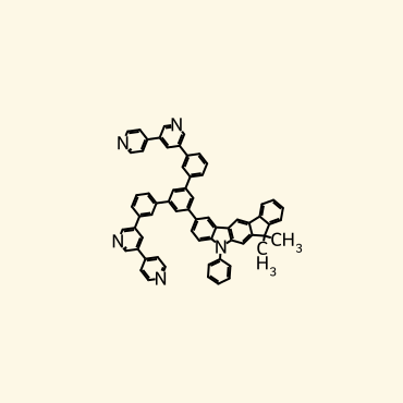 CC1(C)c2ccccc2-c2cc3c4cc(-c5cc(-c6cccc(-c7cncc(-c8ccncc8)c7)c6)cc(-c6cccc(-c7cncc(-c8ccncc8)c7)c6)c5)ccc4n(-c4ccccc4)c3cc21